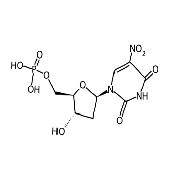 O=c1[nH]c(=O)n([C@H]2C[C@H](O)[C@@H](COP(=O)(O)O)O2)cc1[N+](=O)[O-]